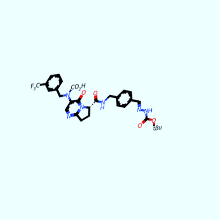 CC(C)(C)OC(=O)NN=Cc1ccc(CNC(=O)[C@@H]2CCc3ncc(N(Cc4cccc(C(F)(F)F)c4)C(=O)O)c(=O)n32)cc1